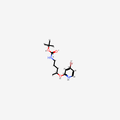 CC(CCCNC(=O)OC(C)(C)C)Oc1cc(Br)ccn1